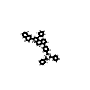 c1ccc(-c2nc(-c3ccccc3)nc(-c3ccc(-c4cccc5c4ccc4nc(-c6ccc7ccccc7c6)cc(-c6ccccc6)c45)cc3)n2)cc1